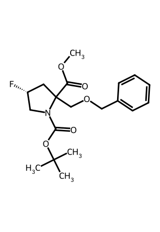 COC(=O)C1(COCc2ccccc2)C[C@@H](F)CN1C(=O)OC(C)(C)C